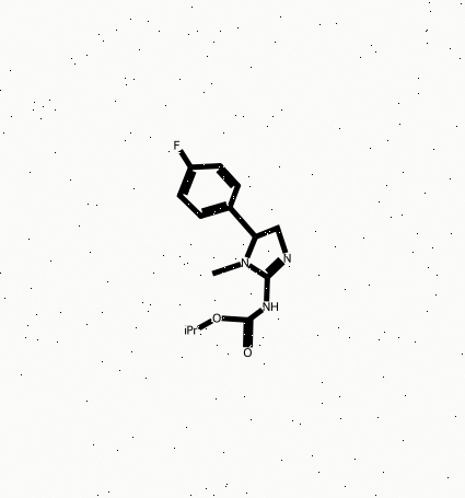 CC(C)OC(=O)NC1=NCC(c2ccc(F)cc2)N1C